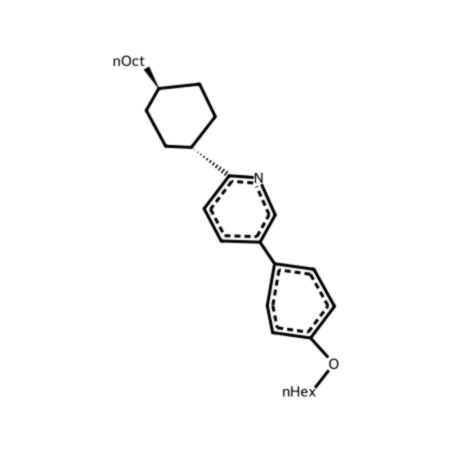 CCCCCCCC[C@H]1CC[C@H](c2ccc(-c3ccc(OCCCCCC)cc3)cn2)CC1